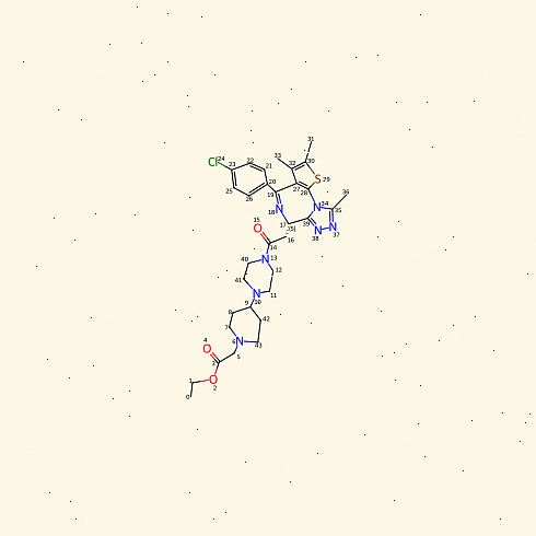 CCOC(=O)CN1CCC(N2CCN(C(=O)C[C@@H]3N=C(c4ccc(Cl)cc4)c4c(sc(C)c4C)-n4c(C)nnc43)CC2)CC1